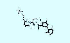 CCOC(=O)CC(NC(=O)C(CC(C)C)n1nc(CCN2CC(C)(F)C2)cc(C)c1=O)c1cc(-c2c(C)cccc2C)cc(C)c1F